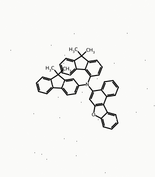 CC1(C)c2ccccc2-c2ccc(N(c3cccc4c3-c3ccccc3C4(C)C)c3cc4oc5ccccc5c4c4ccccc34)cc21